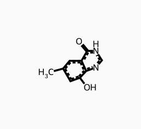 Cc1cc(O)c2nc[nH]c(=O)c2c1